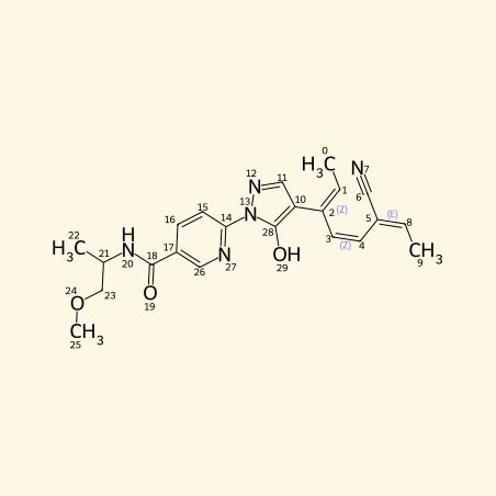 C/C=C(/C=C\C(C#N)=C/C)c1cnn(-c2ccc(C(=O)NC(C)COC)cn2)c1O